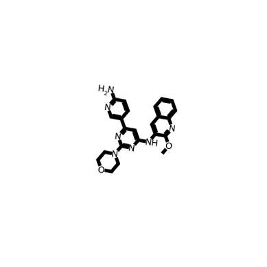 COc1nc2ccccc2cc1Nc1cc(-c2ccc(N)nc2)nc(N2CCOCC2)n1